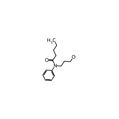 CCCCC(=O)N(CCC[O])c1ccccc1